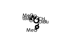 COCN(C(=O)OC(C)(C)C)[C@H]1CCC[C@H](Cc2ccc(OC)cc2)[C@@H](OCC(C)C)[C@H](C)OC1=O